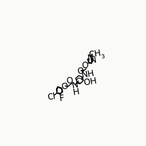 Cn1cc(OCC(=O)NC23CCC(NC(=O)COc4ccc(Cl)c(F)c4)(CC2)CC3O)cn1